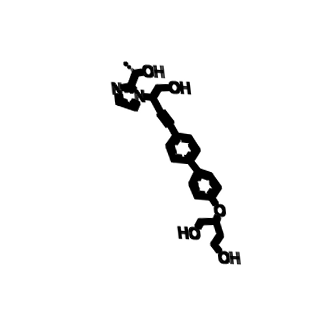 C[C@H](O)c1nccn1C(C#Cc1ccc(-c2ccc(OC(CO)CCO)cc2)cc1)CO